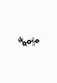 Cc1nnc(-c2ccc(C)c(-c3ccc(C(=O)Nc4ccccc4)cc3)c2)o1